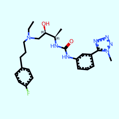 CCN(CCCc1ccc(F)cc1)C[C@@H](O)[C@@H](C)NC(=O)Nc1cccc(-c2nnnn2C)c1